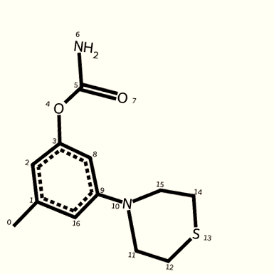 Cc1cc(OC(N)=O)cc(N2CCSCC2)c1